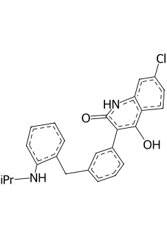 CC(C)Nc1ccccc1Cc1cccc(-c2c(O)c3ccc(Cl)cc3[nH]c2=O)c1